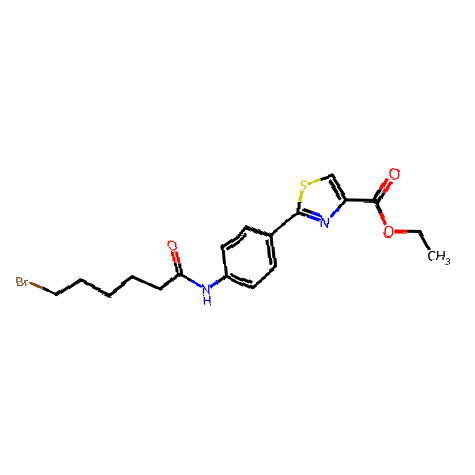 CCOC(=O)c1csc(-c2ccc(NC(=O)CCCCCBr)cc2)n1